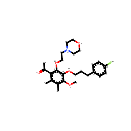 COc1c(C)c(C)c(C(C)=O)c(OCCN2CCOCC2)c1OCCCc1ccc(F)cc1